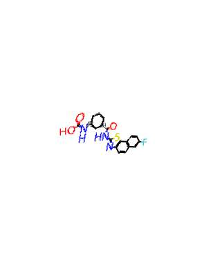 O=C(O)N[C@@H]1CCC[C@H](C(=O)Nc2nc3ccc4cc(F)ccc4c3s2)C1